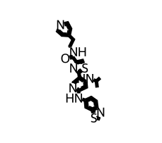 CC(C)Nc1cc(Nc2ccc3ncsc3c2)ncc1-c1nc(C(=O)NCCc2ccncc2)cs1